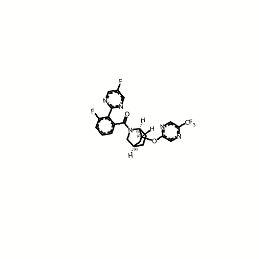 O=C(c1cccc(F)c1-c1ncc(F)cn1)N1C[C@@H]2CC[C@H]1[C@H](Oc1cnc(C(F)(F)F)cn1)C2